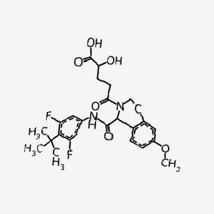 COc1ccc2c(c1)CCN(C(=O)CCC(O)C(=O)O)C2C(=O)Nc1cc(F)c(C(C)(C)C)c(F)c1